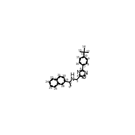 CC(NCc1nc(-c2ccc(C(C)(C)C)cc2)no1)c1ccc2ccccc2c1